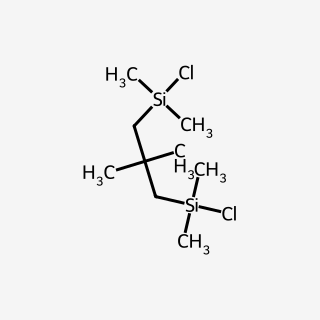 CC(C)(C[Si](C)(C)Cl)C[Si](C)(C)Cl